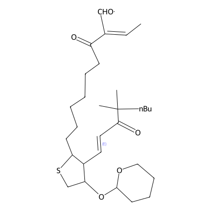 CC=C([C]=O)C(=O)CCCCCCC1SCC(OC2CCCCO2)C1/C=C/C(=O)C(C)(C)CCCC